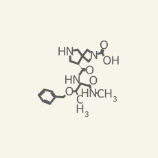 CNC(=O)[C@@H](NC(=O)[C@@H]1CNCC12CN(C(=O)O)C2)[C@@H](C)OCc1ccccc1